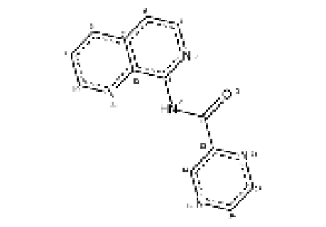 O=C(Nc1nccc2cccnc12)c1cnccn1